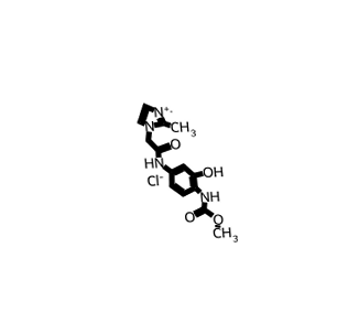 COC(=O)Nc1ccc(NC(=O)CN2C=C[N+]=C2C)cc1O.[Cl-]